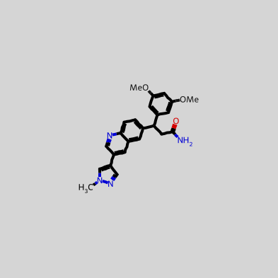 COc1cc(OC)cc(C(CC(N)=O)c2ccc3ncc(-c4cnn(C)c4)cc3c2)c1